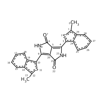 Cc1sc(C2=C3C(=O)NC(c4sc(C)c5ccccc45)=C3C(=O)N2)c2ccccc12